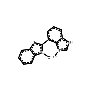 [O-][n+]1[c][nH]c2cccc(-c3sc4ccccc4[n+]3[O-])c21